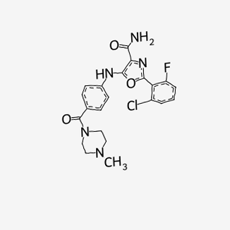 CN1CCN(C(=O)c2ccc(Nc3oc(-c4c(F)cccc4Cl)nc3C(N)=O)cc2)CC1